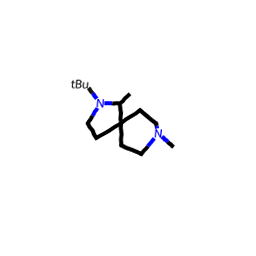 CC1N(C(C)(C)C)CCC12CCN(C)CC2